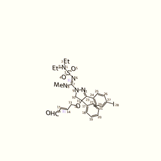 CCN(CC)S(=O)(=O)/N=C(\NC)N1CC(OC/C=C/C=O)(c2ccccc2)C(c2ccc(I)cc2)=N1